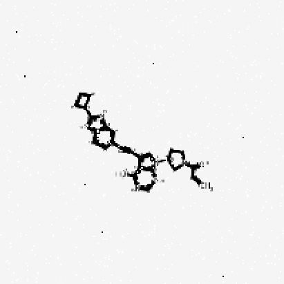 C=CC(=O)N1CC[C@H](n2cc(C#Cc3ccc4sc(C5CCC5)nc4c3)c3c(N)ncnc32)C1